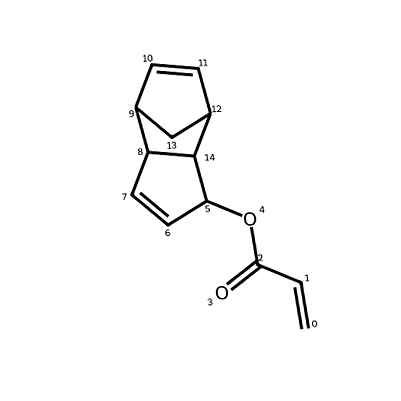 C=CC(=O)OC1C=CC2C3C=CC(C3)C12